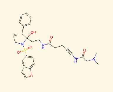 CC(C)CN(C(O)(CCNC(=O)CCC#CNC(=O)CN(C)C)Cc1ccccc1)S(=O)(=O)c1ccc2occc2c1